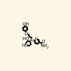 NC(=O)c1ccc([As](CC(O)COc2ccc(O)cc2)C2CCNCC2)nc1